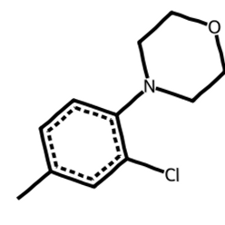 Cc1ccc(N2CCOCC2)c(Cl)c1